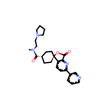 CN(CCN1CCCC1)C(=O)[C@H]1CC[C@@]2(CC1)OC(=O)c1nc(-c3cccnc3)ccc12